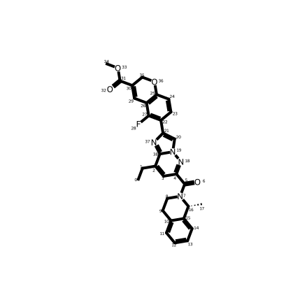 CCc1cc(C(=O)N2CCc3ccccc3[C@H]2C)nn2cc(-c3ccc4c(c3F)C=C(C(=O)OC)CO4)nc12